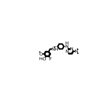 COc1cc(CNC[C@H]2CC[C@@H](Nc3nccc(N(C)C)n3)CC2)cc(F)c1O